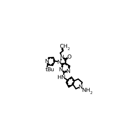 C=CCn1c(=O)c2cnc(Nc3ccc4c(c3)CCN(N)C4)nc2n1-c1ccnc(C(C)(C)C)c1